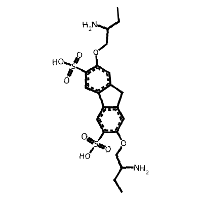 CCC(N)COc1cc2c(cc1S(=O)(=O)O)-c1cc(S(=O)(=O)O)c(OCC(N)CC)cc1C2